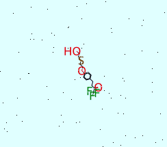 O=C(CCc1ccc(OCCSCCO)cc1)C(F)(F)F